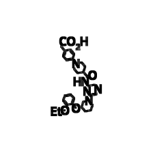 CCOc1ccccc1OC1CCCN(c2cncc(NC(=O)C3CCN(c4ccc(CC(=O)O)cc4)CC3)n2)C1